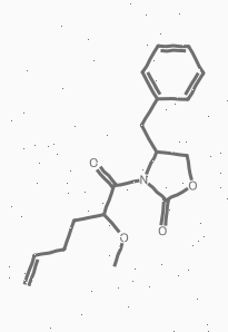 C=CCCC(OC)C(=O)N1C(=O)OCC1Cc1ccccc1